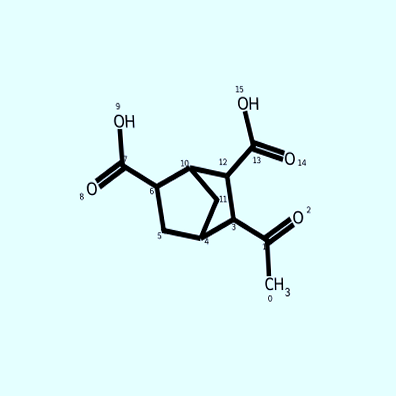 CC(=O)C1C2CC(C(=O)O)C(C2)C1C(=O)O